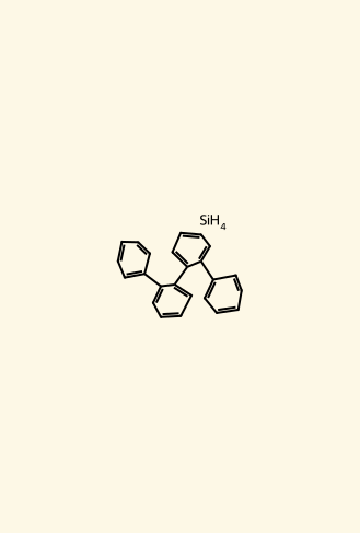 [SiH4].c1ccc(-c2ccccc2-c2ccccc2-c2ccccc2)cc1